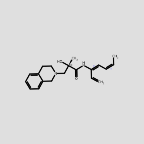 C=C/C(=C\C=C/C)NC(=O)[C@@](C)(O)CN1CCc2ccccc2C1